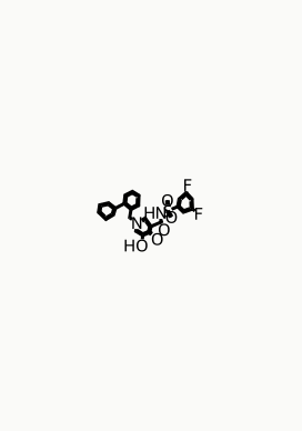 O=C(NS(=O)(=O)c1cc(F)cc(F)c1)c1cn(Cc2ccccc2-c2ccccc2)cc(O)c1=O